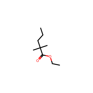 C[CH]OC(=O)C(C)(C)CCC